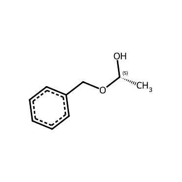 C[C@@H](O)OCc1ccccc1